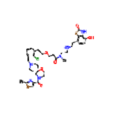 CCN(CCNCCc1ccc(O)c2[nH]c(=O)sc12)C(=O)CCOCCc1cccc(CN2CCC3(CC2)CN(C(=O)c2csc(C(C)C)n2)CCO3)c1Cl